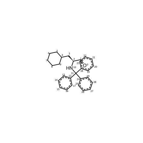 O=C[C@H](CC1CCCCC1)NC(c1ccccc1)(c1ccccc1)c1ccccc1